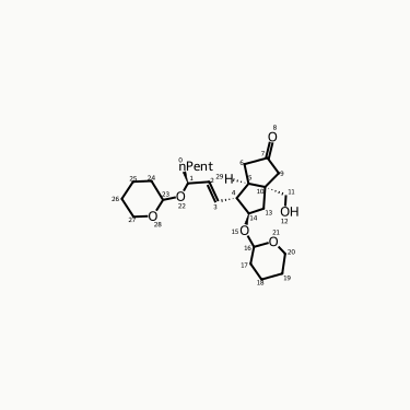 CCCCC[C@@H](C=C[C@@H]1[C@H]2CC(=O)C[C@@]2(CO)C[C@H]1OC1CCCCO1)OC1CCCCO1